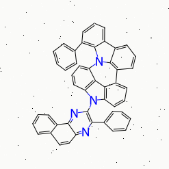 c1ccc(-c2nc3ccc4ccccc4c3nc2-n2c3cccc4c5cccc6c7cccc(-c8ccccc8)c7n(c7cccc2c7c43)c56)cc1